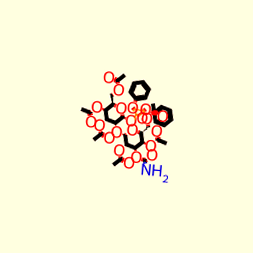 CC(=O)OC[C@H]1O[C@@H](OP(=O)(Oc2ccccc2)Oc2ccccc2)[C@H](O[C@@H]2O[C@H](COC(C)=O)[C@@H](OC(C)=O)[C@@H](OC(N)=O)[C@@H]2OC(C)=O)[C@H](OC(C)=O)[C@H]1OC(C)=O